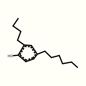 CCCCCCc1ccc(O)c(CCCC)c1